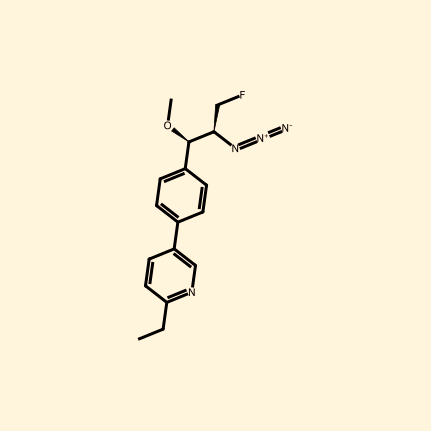 CCc1ccc(-c2ccc([C@@H](OC)[C@@H](CF)N=[N+]=[N-])cc2)cn1